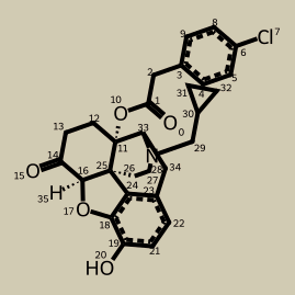 O=C(Cc1ccc(Cl)cc1)O[C@@]12CCC(=O)[C@@H]3Oc4c(O)ccc5c4[C@@]31CCN(CC1CC1)C2C5